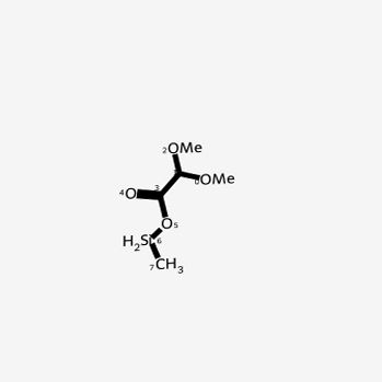 COC(OC)C(=O)O[SiH2]C